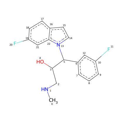 CNCC(O)C(c1cccc(F)c1)n1ccc2ccc(F)cc21